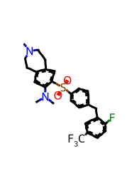 CN1CCc2cc(N(C)C)c(S(=O)(=O)c3ccc(Cc4cc(C(F)(F)F)ccc4F)cc3)cc2CC1